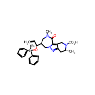 C=C[C@@H](O[Si](c1ccccc1)(c1ccccc1)C(C)(C)C)[C@H]1CN(C)C(=O)c2c3c(nn2C1)C[C@@H](C)N(C(=O)O)C3